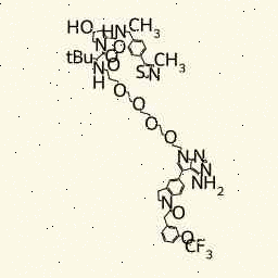 Cc1ncsc1-c1ccc(C(C)NC(=O)[C@@H]2C[C@@H](O)CN2C(=O)C(NC(=O)CCOCCOCCOCCOCCn2cc(-c3ccc4c(c3)CCN4C(=O)Cc3cccc(OC(F)(F)F)c3)c3c(N)ncnc32)C(C)(C)C)cc1